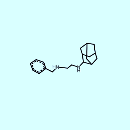 c1ccc(CNCCNC2C3CC4CC(C3)CC2C4)cc1